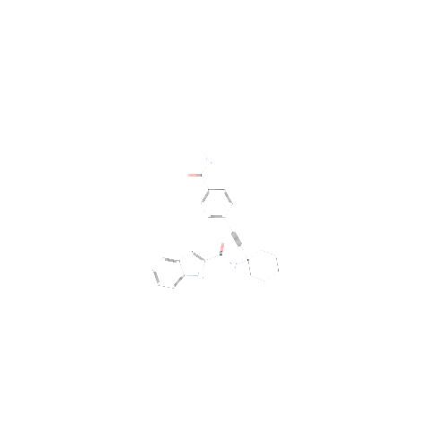 O=C(NO)c1ccc(C#CC2(NC(=O)c3cc4ccccc4[nH]3)CCCCC2)cc1